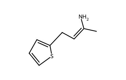 CC(N)=CCc1cccs1